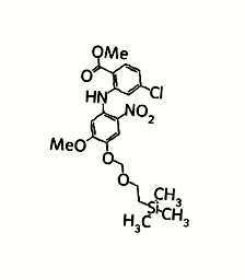 COC(=O)c1ccc(Cl)cc1Nc1cc(OC)c(OCOCC[Si](C)(C)C)cc1[N+](=O)[O-]